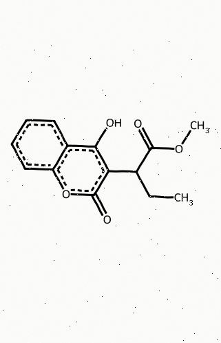 CCC(C(=O)OC)c1c(O)c2ccccc2oc1=O